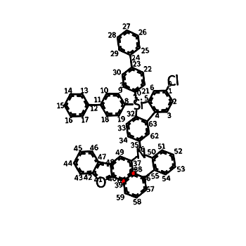 Clc1ccc2c(c1)[Si](c1ccc(-c3ccccc3)cc1)(c1ccc(-c3ccccc3)cc1)c1ccc(N(c3ccc4oc5ccccc5c4c3)c3ccccc3-c3ccccc3)cc1-2